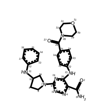 NC(=O)c1nnc(N2CCC(Nc3ccccc3)C2)nc1Nc1ccc(C(=O)N2CCOCC2)cc1